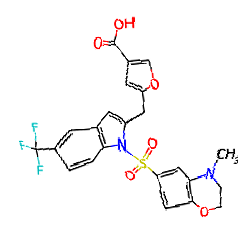 CN1CCOc2ccc(S(=O)(=O)n3c(Cc4cc(C(=O)O)co4)cc4cc(C(F)(F)F)ccc43)cc21